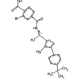 C/C(=N\NC(=O)c1ccc(C(=O)O)c(Br)c1)c1csc(-c2ccc(C(C)(C)C)cc2)c1O